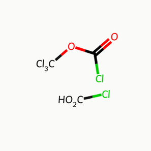 O=C(Cl)OC(Cl)(Cl)Cl.O=C(O)Cl